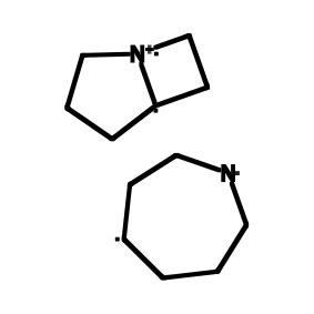 C1C[C]2CC[N+]2C1.[CH]1CCC[N]CC1